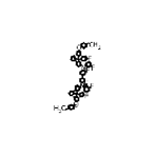 C=Cc1ccc(Oc2ccc(C3(c4ccc(F)cc4)c4ccccc4-c4ccc(N(c5ccc(-c6ccc(N(c7ccc8c(c7)C(c7ccc(F)cc7)(c7ccc(Oc9ccc(C=C)cc9)cc7)c7ccccc7-8)c7cccc(F)c7F)cc6)cc5)c5cccc(F)c5F)cc43)cc2)cc1